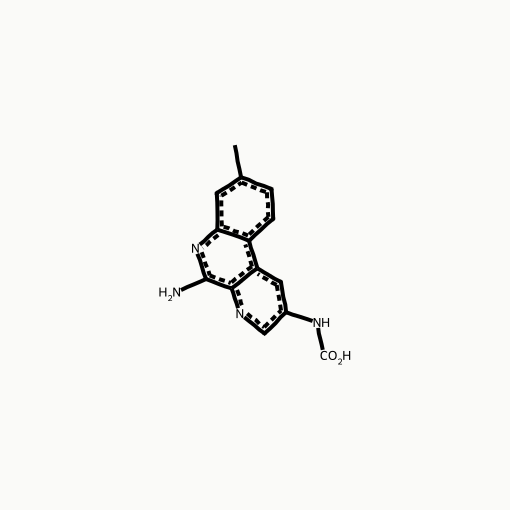 Cc1ccc2c(c1)nc(N)c1ncc(NC(=O)O)cc12